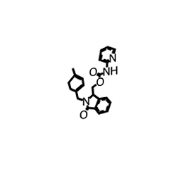 CC1=CC=C(CN2C(=O)c3ccccc3C2COC(=O)Nc2ccccn2)CC1